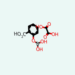 O=C(O)C(=O)O.O=C(O)c1ccccc1OB(O)O